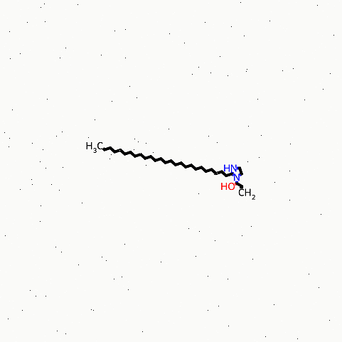 C=CC(O)N1CCNC1CCCCCCCCCCCCCCCCCCCCCCCCCC